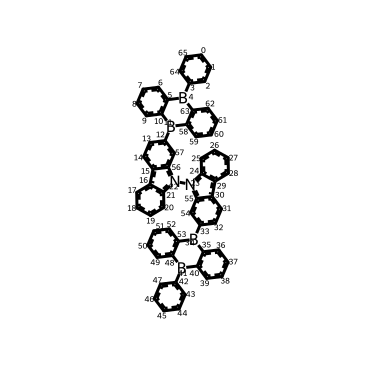 c1ccc(B2c3ccccc3B(c3ccc4c5ccccc5n(-n5c6ccccc6c6ccc(B7c8ccccc8B(c8ccccc8)c8ccccc87)cc65)c4c3)c3ccccc32)cc1